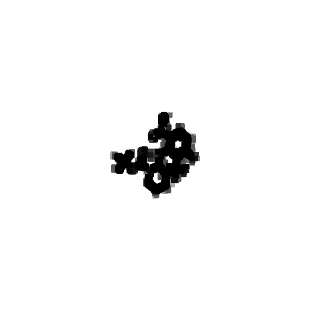 CC(C)(C)OC(=O)N1CCCCC1Nc1c([N+](=O)[O-])ccc(F)c1C(F)(F)F